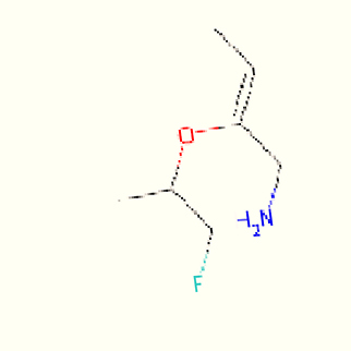 CC=C(CN)OC(C)CF